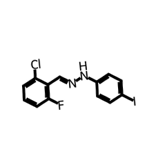 Fc1cccc(Cl)c1C=NNc1ccc(I)cc1